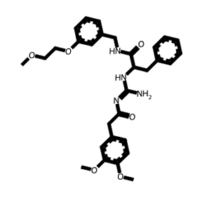 COCCOc1cccc(CNC(=O)C(Cc2ccccc2)NC(N)=NC(=O)Cc2ccc(OC)c(OC)c2)c1